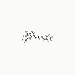 Nc1nc2c(ncn2COCCOc2ccccc2)c(=O)[nH]1